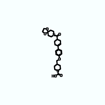 O=C(O)N1CCC(COc2ccc(C3=CCC(C(=O)N4CCC5(CC4)OCCO5)CC3)cc2)CC1